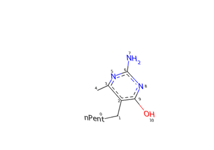 CCCCCCc1c(C)nc(N)nc1O